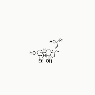 CC[C@H]1[C@@H](O)[C@@H]2[C@H](CC[C@]3(C)[C@@H]([C@H](C)C=CC(O)C(C)C)CC[C@@H]23)[C@@]2(C)CC[C@@H](O)C[C@@H]12